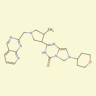 CC1CN(Cc2ncc3cccnc3n2)CC1C1=NC2=CN(C3CCOCC3)CN2C(=O)N1